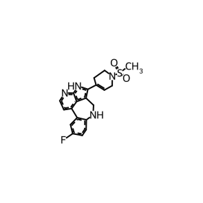 CS(=O)(=O)N1CC=C(c2[nH]c3nccc4c3c2CNc2ccc(F)cc2-4)CC1